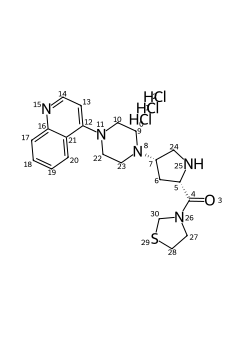 Cl.Cl.Cl.O=C([C@@H]1C[C@H](N2CCN(c3ccnc4ccccc34)CC2)CN1)N1CCSC1